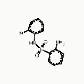 Nc1ccccc1S(=O)(=O)Nc1ccccc1Br